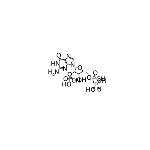 Nc1nc2c(ncn2[C@@H]2O[C@H](COP(=O)(O)CP(=O)(O)O)C(O)C2OP(=O)(O)O)c(=O)[nH]1